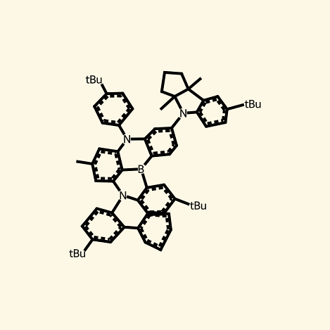 Cc1cc2c3c(c1)N(c1ccc(C(C)(C)C)cc1-c1ccccc1)c1ccc(C(C)(C)C)cc1B3c1ccc(N3c4ccc(C(C)(C)C)cc4C4(C)CCCC34C)cc1N2c1ccc(C(C)(C)C)cc1